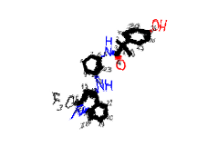 CC(C)(C(=O)N[C@@H]1CCCC(Nc2cc(C(F)(F)F)nc3ccccc23)C1)c1ccc(O)cc1